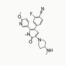 CNC1CCN(c2cc(-c3ccc(C#N)c(F)c3)c(-c3ccc(OC)nc3)n(C)c2=O)CC1